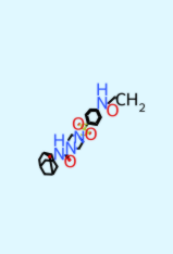 C=CC(=O)Nc1ccc(S(=O)(=O)N2CCN(C(=O)NC34CC5CC(CC(C5)C3)C4)CC2)cc1